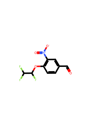 O=Cc1ccc(OC(F)C(F)F)c([N+](=O)[O-])c1